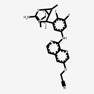 COC[C@@]12SC(N)=N[C@](C)(c3cc(Nc4nccc5cc(OCC#N)cnc45)cc(F)c3F)C1C2C